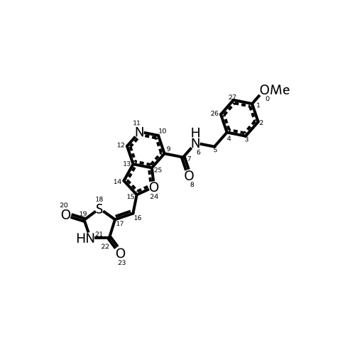 COc1ccc(CNC(=O)c2cncc3cc(/C=C4\SC(=O)NC4=O)oc23)cc1